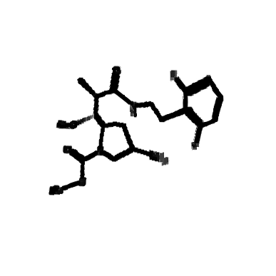 CO[C@@H](C1CC(N)CN1C(=O)OC(C)(C)C)[C@@H](C)C(=O)NCCc1c(F)cccc1F